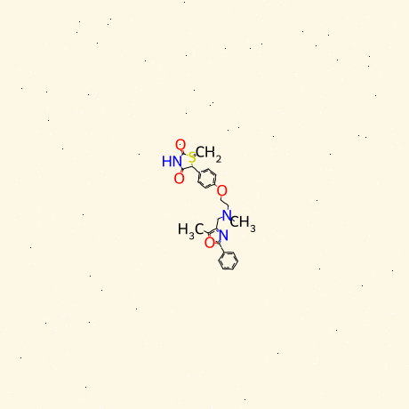 C=S1C(=O)NC(=O)C1c1ccc(OCCN(C)Cc2nc(-c3ccccc3)oc2C)cc1